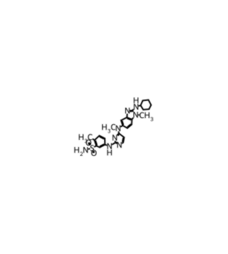 Cc1ccc(Nc2nccc(N(C)c3ccc4c(c3)nc(NC3CCCCC3)n4C)n2)cc1S(N)(=O)=O